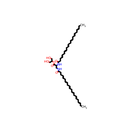 CCC=CCC=CCC=CCC=CCC=CCC=CCCC(=O)NCC(NC(=O)CCC=CCC=CCC=CCC=CCC=CCC=CCC)C(=O)OC(CO)CO